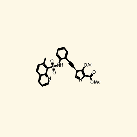 COC(=O)C1=C(OC(C)=O)[C@H](C#Cc2ccccc2NS(=O)(=O)c2c(C)ccc3cccnc23)C=N1